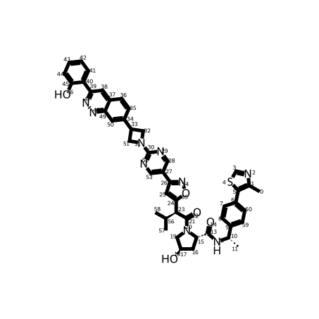 Cc1ncsc1-c1ccc([C@H](C)NC(=O)[C@@H]2C[C@@H](O)CN2C(=O)[C@H](c2cc(-c3cnc(N4CC(c5ccc6cc(-c7ccccc7O)nnc6c5)C4)nc3)no2)C(C)C)cc1